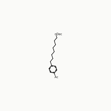 CCCCCCCCCCCCCCCCCCc1ccc(C(C)=O)cc1